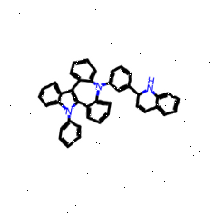 C1=CC(c2cccc(N3c4ccccc4-c4c(n(-c5ccccc5)c5ccccc45)-c4ccccc43)c2)Nc2ccccc21